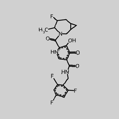 CC1C(F)CC2CC2CN1C(=O)c1[nH]cc(C(=O)NCc2c(F)cc(F)cc2F)c(=O)c1O